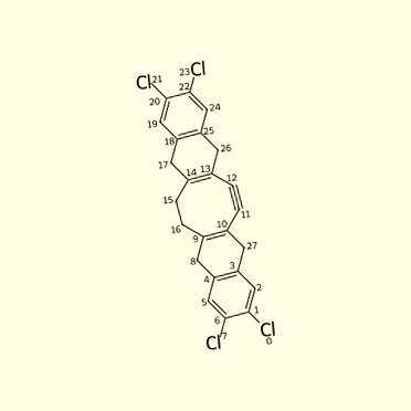 Clc1cc2c(cc1Cl)CC1=C(C#CC3=C(CC1)Cc1cc(Cl)c(Cl)cc1C3)C2